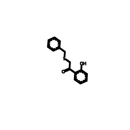 O=C(CSCc1ccccc1)c1ccccc1O